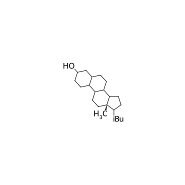 CCC(C)C1CCC2C3CCC4CC(O)CCC4C3CC[C@@]12C